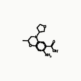 CC1CN(C2CCOC2)c2cc(C(=O)O)c(N)cc2O1